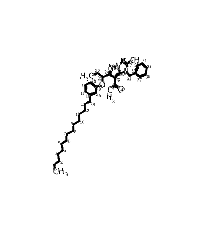 CCCCCCCCCCCCCCCc1cccc(OC(CC)c2nn3nc(C)n(Cc4ccccc4)c3c2C(C)=O)c1